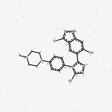 CCc1n[nH]c2cc(O)c(-c3nnc(S)n3-c3ccc(N4CCN(C)CC4)cc3)cc12